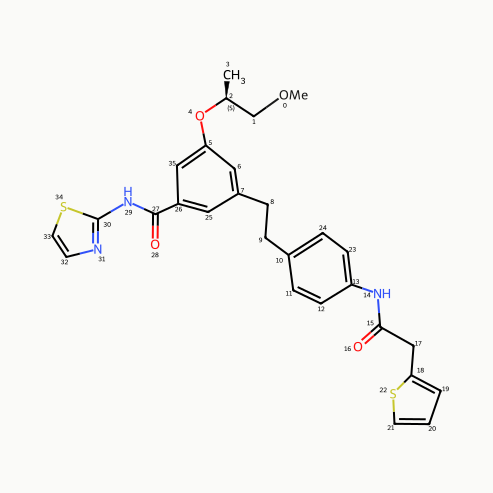 COC[C@H](C)Oc1cc(CCc2ccc(NC(=O)Cc3cccs3)cc2)cc(C(=O)Nc2nccs2)c1